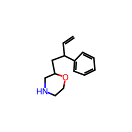 C=CC(CC1CNCCO1)c1ccccc1